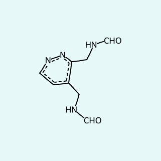 O=CNCc1ccnnc1CNC=O